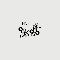 CCCCc1nc(CF)n(Cc2ccccc2)c(=O)c1Cc1ccc(-c2ccccc2-c2noc(=O)[nH]2)cc1.[NaH]